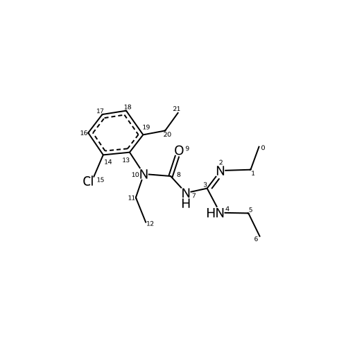 CCN=C(NCC)NC(=O)N(CC)c1c(Cl)cccc1CC